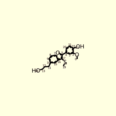 COc1cc(-c2oc3ccc(CCCO)cc3c2SC)ccc1O